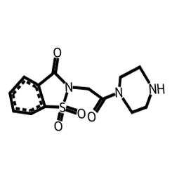 O=C(CN1C(=O)c2ccccc2S1(=O)=O)N1CCNCC1